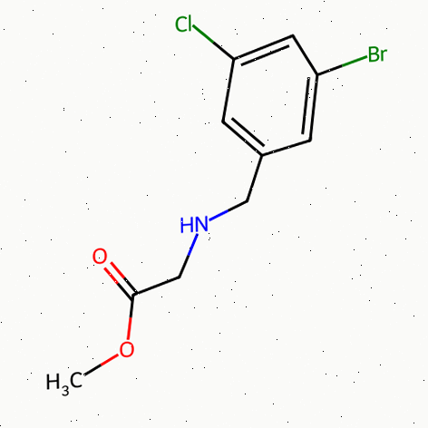 COC(=O)CNCc1cc(Cl)cc(Br)c1